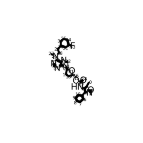 Cc1onc(-c2ccccc2)c1NC(=O)OC[C@@H]1CCC(n2cnc3c(N(C)CCC4=CC(F)=CCC4)ncnc32)O1